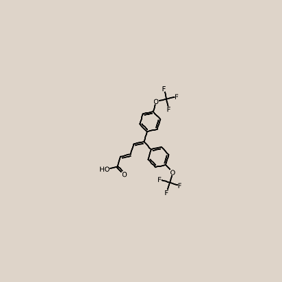 O=C(O)C=CC=C(c1ccc(OC(F)(F)F)cc1)c1ccc(OC(F)(F)F)cc1